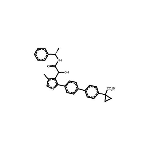 CCOC(=O)C1(c2ccc(-c3ccc(-c4onc(C)c4C(O)C(=O)N[C@H](C)c4ccccc4)cc3)cc2)CC1